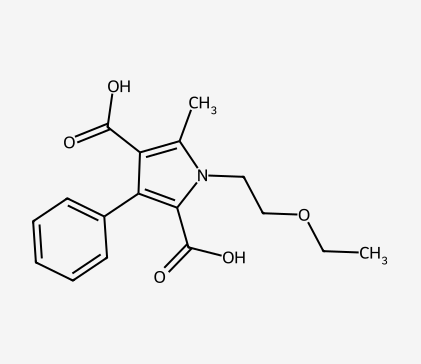 CCOCCn1c(C)c(C(=O)O)c(-c2ccccc2)c1C(=O)O